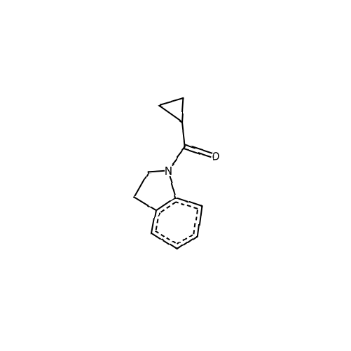 O=C(C1CC1)N1CCc2ccccc21